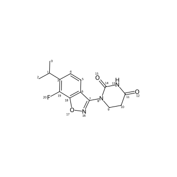 CC(C)c1ccc2c(N3CCC(=O)NC3=O)noc2c1F